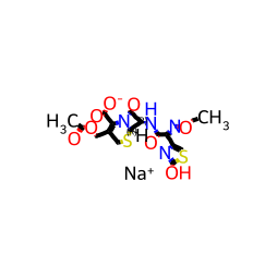 CCON=C(C(=O)N[C@@H]1C(=O)N2C(C(=O)[O-])=C(COC(C)=O)CS[C@H]12)c1csc(O)n1.[Na+]